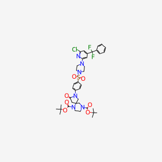 CC(C)(C)OC(=O)N1CCN(C(=O)OC(C)(C)C)C2(CC(=O)N(c3ccc(S(=O)(=O)N4CCN(c5cc(C(F)(F)c6ccccc6)cc(Cl)n5)CC4)cc3)C2)C1